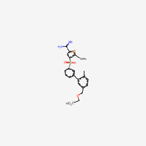 CSc1sc(C(=N)N)cc1S(=O)(=O)c1cccc(-c2cc(COCC(=O)O)ccc2C)c1